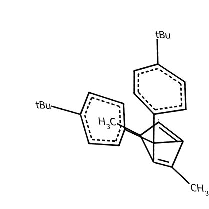 CC1=C2C(C)[C]=C1C2(c1ccc(C(C)(C)C)cc1)c1ccc(C(C)(C)C)cc1